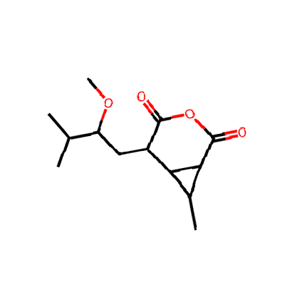 COC(CC1C(=O)OC(=O)C2C(C)C12)C(C)C